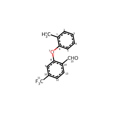 Cc1ccccc1Oc1cc(C(F)(F)F)ccc1C=O